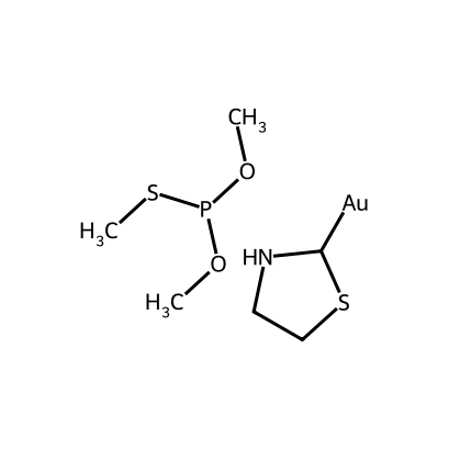 COP(OC)SC.[Au][CH]1NCCS1